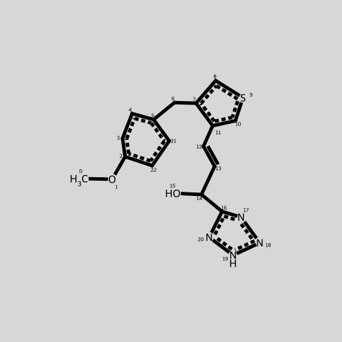 COc1ccc(Cc2cscc2C=CC(O)c2nn[nH]n2)cc1